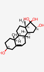 C[C@]12CC[C@H](O)CC1=CC[C@@H]1[C@@H]2CC[C@@]2(C)[C@H]1C[C@@H](O)C2(O)O